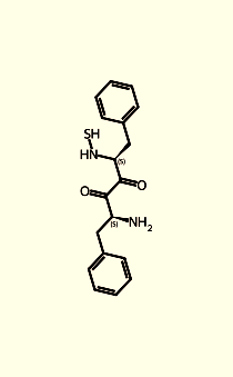 N[C@@H](Cc1ccccc1)C(=O)C(=O)[C@H](Cc1ccccc1)NS